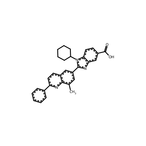 Cc1cc(-c2nc3cc(C(=O)O)ccc3n2C2CCCCC2)cc2ccc(-c3ccccc3)nc12